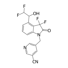 N#Cc1cncc(CN2C(=O)C(F)(F)c3c(C(O)C(F)F)cccc32)c1